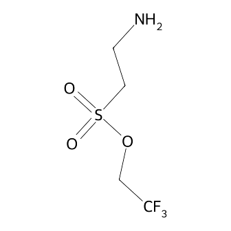 NCCS(=O)(=O)OCC(F)(F)F